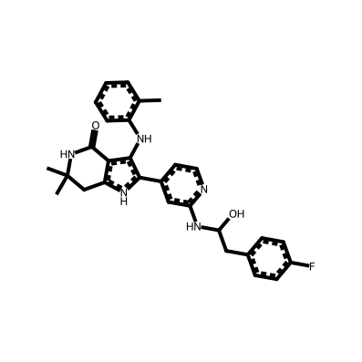 Cc1ccccc1Nc1c(-c2ccnc(NC(O)Cc3ccc(F)cc3)c2)[nH]c2c1C(=O)NC(C)(C)C2